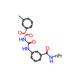 CCCNC(=O)c1cccc(NC(=O)NS(=O)(=O)c2cccc(C)c2)c1